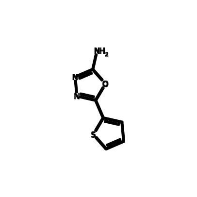 Nc1nnc(-c2cccs2)o1